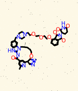 Cc1cc2cc(n1)C1C=NN(C)C1OCCC[C@@H](C)CN1/C(=N/C2=O)Nc2ccc(CN3CCN(CCOCCOCCOc4cccc5c4C(=O)N(C4CCC(=O)NC4=O)C5=O)CC3)cc21